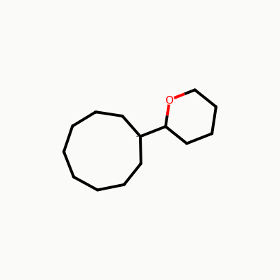 C1CCCC[C](C2CCCCO2)CCC1